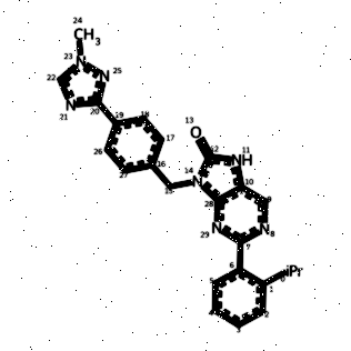 CC(C)c1ccccc1-c1ncc2[nH]c(=O)n(Cc3ccc(-c4ncn(C)n4)cc3)c2n1